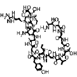 CC[C@H](C)[C@H](NC(=O)CNC(=O)[C@@H](NC(=O)[C@@H](NC(=O)CNC(=O)CNC(=O)[C@H](CO)NC(=O)[C@H](C)N)[C@@H](C)O)C(C)C)C(=O)N[C@@H](Cc1ccc(O)cc1)C(=O)NCC(=O)N[C@@H](C)C(=O)N[C@@H](CC(N)=O)C(=O)N[C@@H](CCSC)C(=O)N[C@@H](CCCNC(=N)N)C(=O)N[C@@H](CO)C(=O)O